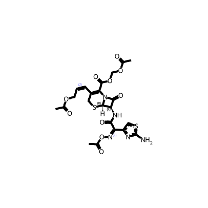 CC(=O)OC/C=C\C1=C(C(=O)OCOC(C)=O)N2C(=O)[C@@H](NC(=O)/C(=N\OC(C)=O)c3csc(N)n3)[C@H]2SC1